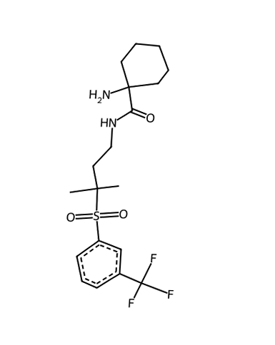 CC(C)(CCNC(=O)C1(N)CCCCC1)S(=O)(=O)c1cccc(C(F)(F)F)c1